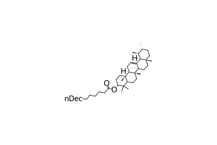 CCCCCCCCCCCCCCCC(=O)O[C@H]1CC[C@@]2(C)C(CC[C@]3(C)[C@@H]2CC=C2[C@H]4[C@@H](C)[C@H](C)CC[C@]4(C)CC[C@]23C)C1(C)C